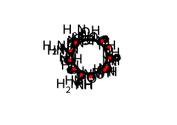 CC[C@@H]1NC(=O)[C@H](Cc2ccccc2)NC(=O)CSC[C@@H](C(=O)NCC(N)=O)NC(=O)[C@H](Cc2cncn2C)NC(=O)[C@H](CCCNC(=N)N)NC(=O)[C@H](Cc2cnc[nH]2)NC(=O)[C@H](Cc2ccccc2)N(C)C(=O)[C@H](CCCNC(=N)N)NC(=O)[C@H](CO)NC(=O)CN(C)C(=O)[C@H](Cc2cnc[nH]2)NC(=O)[C@H](Cc2c[nH]c3ccccc23)NC1=O